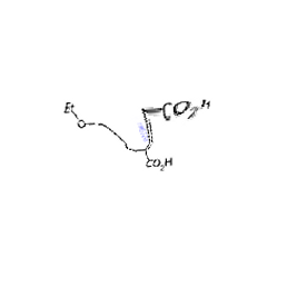 CCOCC/C(=C/C(=O)O)C(=O)O